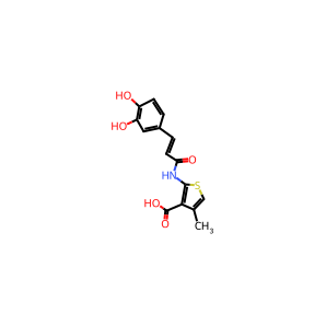 Cc1csc(NC(=O)C=Cc2ccc(O)c(O)c2)c1C(=O)O